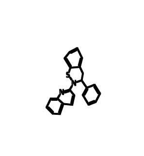 c1ccc(C2Cc3ccccc3SN2c2ccc3ccccc3n2)cc1